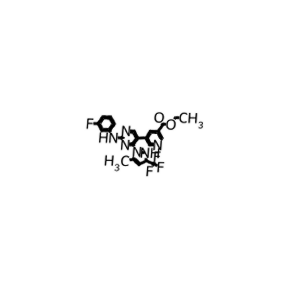 CCOC(=O)c1cncc(-c2cnc(Nc3cccc(F)c3)nc2N2NC(C(F)(F)F)C=C2C)c1